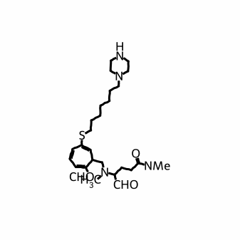 CNC(=O)CCC(C=O)N(C)CC1C=C(SCCCCCCCN2CCNCC2)C=CC=C1C=O